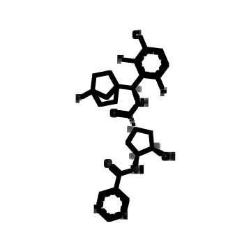 O=C(N[C@H]1C[C@H](C(=O)N[C@H](c2c(F)ccc(Cl)c2F)C23CCC(F)(CC2)C3)C[C@H]1O)c1cncnc1